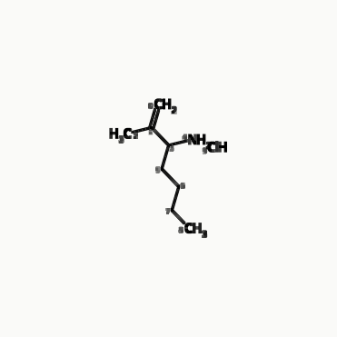 C=C(C)C(N)CCCC.Cl